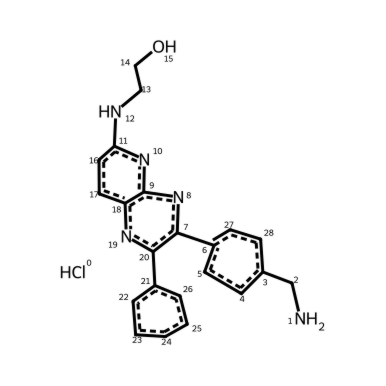 Cl.NCc1ccc(-c2nc3nc(NCCO)ccc3nc2-c2ccccc2)cc1